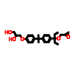 CCC(CC)(OCC1CO1)c1ccc(C(C)(C)c2ccc(OCC(O)CO)cc2)cc1